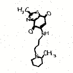 Cc1nc2c(s1)C(=O)C=C(NCCCN1CCCCC1C)C2=O